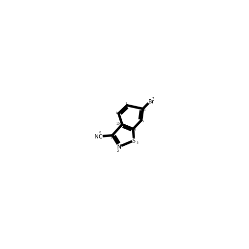 N#Cc1nsc2cc(Br)ccc12